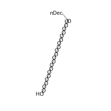 CCCCCCCCCCCCCCCCCC(=O)OCCOCCOCCOCCOCCOCCOCCOCCOCCOCCOCCOCCOCCOCCOCCOCCOCCOCCOCCOCCO